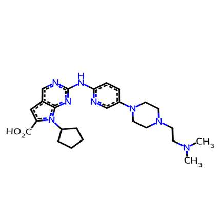 CN(C)CCN1CCN(c2ccc(Nc3ncc4cc(C(=O)O)n(C5CCCC5)c4n3)nc2)CC1